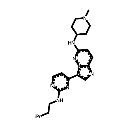 CC(C)CCNc1nccc(-c2cnc3ccc(NC4CCN(C)CC4)nn23)n1